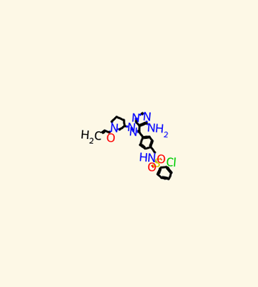 C=CC(=O)N1CCCC(n2nc(-c3ccc(CNS(=O)(=O)c4ccccc4Cl)cc3)c3c(N)ncnc32)C1